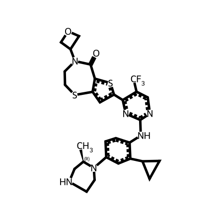 C[C@@H]1CNCCN1c1ccc(Nc2ncc(C(F)(F)F)c(-c3cc4c(s3)C(=O)N(C3COC3)CCS4)n2)c(C2CC2)c1